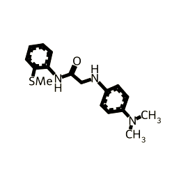 CSc1ccccc1NC(=O)CNc1ccc(N(C)C)cc1